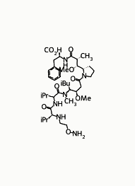 CC[C@H](C)[C@@H]([C@@H](CC(=O)N1CCC[C@H]1[C@H](OC)[C@@H](C)C(=O)N[C@@H](Cc1ccccc1)C(=O)O)OC)N(C)C(=O)C(NC(=O)[C@@H](NCCON)C(C)C)C(C)C